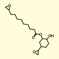 O=C(CCCCCCCCC1CO1)OC1CC(C2CO2)CCC1O